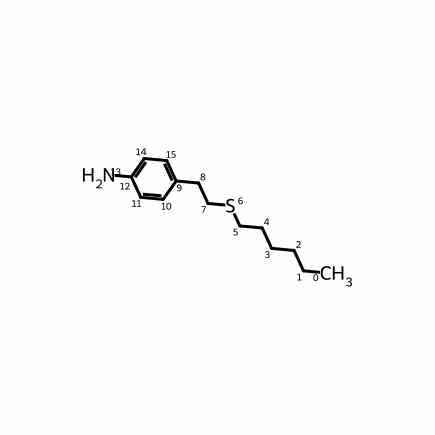 CCCCCCSCCc1ccc(N)cc1